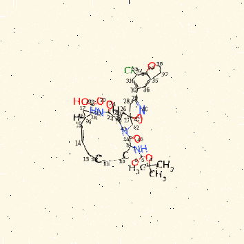 CC(C)(C)OC(=O)N[C@H]1CCCCC/C=C\[C@@H]2C[C@@]2(C(=O)O)NC(=O)[C@@H]2C[C@]3(CC(c4cc(Cl)c5c(c4)CCO5)=NO3)CN2C1=O